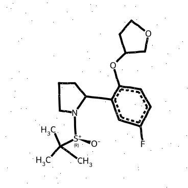 CC(C)(C)[S@+]([O-])N1CCCC1c1cc(F)ccc1OC1CCOC1